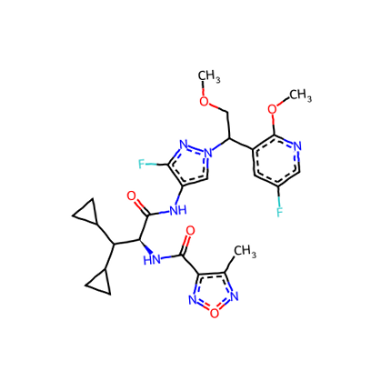 COCC(c1cc(F)cnc1OC)n1cc(NC(=O)[C@@H](NC(=O)c2nonc2C)C(C2CC2)C2CC2)c(F)n1